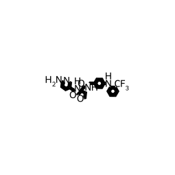 Nc1ccc(C(=O)NC2(C(=O)NCc3ccc(Nc4ccccc4C(F)(F)F)cc3)CCOC2)cn1